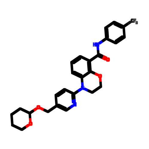 O=C(Nc1ccc(C(F)(F)F)cc1)c1cccc2c1OCCN2c1ccc(COC2CCCCO2)cn1